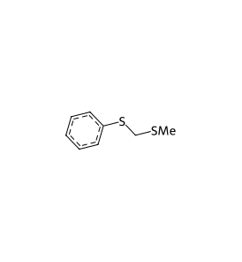 CSCSc1ccccc1